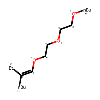 CCCCOCCOCCO/C=C(\CC)CCCC